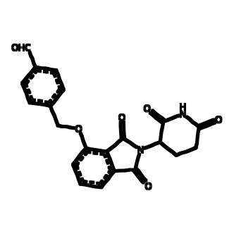 O=Cc1ccc(COc2cccc3c2C(=O)N(C2CCC(=O)NC2=O)C3=O)cc1